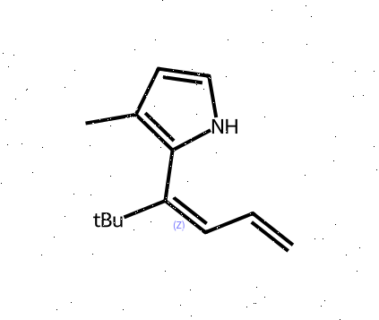 C=C/C=C(\c1[nH]ccc1C)C(C)(C)C